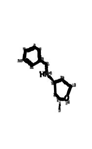 C[C@@H]1C[C@@H](NCc2ccccc2)CCO1